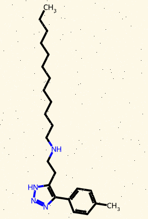 CCCCCCCCCCCCNCCc1[nH]nnc1-c1ccc(C)cc1